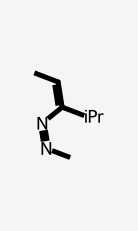 C/C=C(\N=N/C)C(C)C